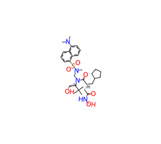 CN(C)c1cccc2c(S(=O)(=O)N(C)CN(C(=O)[C@@H](CC(=O)NO)CC3CCCC3)[C@H](CO)C(C)(C)C)cccc12